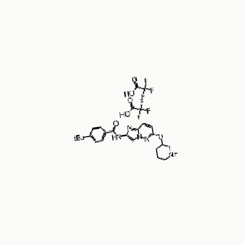 CC(C)(C)c1ccc(C(=O)Nc2cn3nc(OC4CCCNC4)ccc3n2)cc1.O=C(O)C(F)(F)F.O=C(O)C(F)(F)F